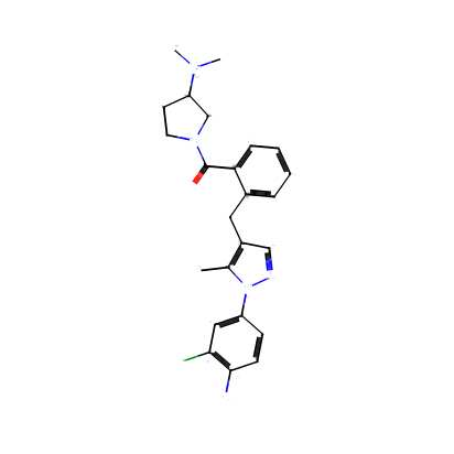 Cc1c(Cc2ccccc2C(=O)N2CCC(N(C)C)C2)cnn1-c1ccc(N)c(Cl)c1